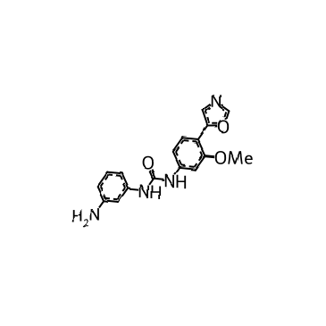 COc1cc(NC(=O)Nc2cccc(N)c2)ccc1-c1cnco1